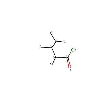 CC(C)C(C)C(C)C(=O)Cl